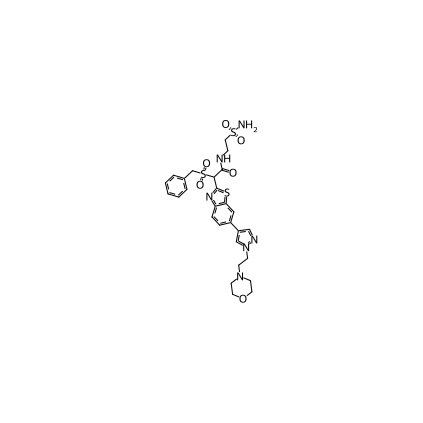 NS(=O)(=O)CCNC(=O)C(c1nc2ccc(-c3cnn(CCN4CCOCC4)c3)cc2s1)S(=O)(=O)Cc1ccccc1